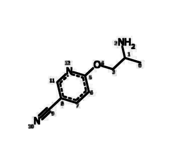 CC(N)COc1ccc(C#N)cn1